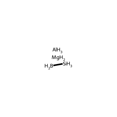 B[SiH3].[AlH3].[MgH2]